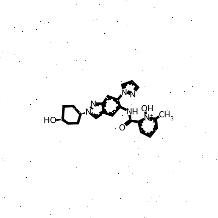 Cc1cccc(C(=O)Nc2cc3cn([C@H]4CC[C@H](O)CC4)nc3cc2-n2cccn2)[n+]1O